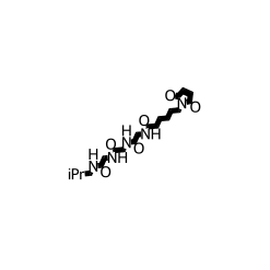 CC(C)CNC(=O)CNC(=O)CNC(=O)CNC(=O)CCCCCN1C(=O)C=CC1=O